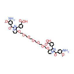 COc1cc(C(=O)c2nc(-c3cccc(C(=O)O)c3)c3c(OCCOCCOCCOCCOCCOCCOc4cccn5c(C(=O)c6ccc(N)c(OC)c6)nc(-c6cccc(C(=O)O)c6)c45)cccn23)ccc1N